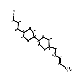 CC=COCC1CCC(C2CCC(CCCF)CC2)CC1